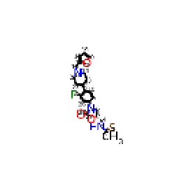 CC(=S)NC[C@H]1CN(c2ccc(C3CCN(Cc4ccco4)CC3)c(F)c2)C(=O)O1